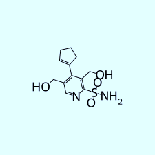 NS(=O)(=O)c1ncc(CO)c(C2=CCCC2)c1CO